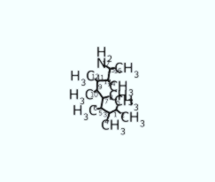 CC(C)C(C)C(C)C(C)C(C)C(C)C(C)C(C)N